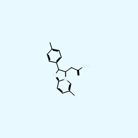 CNC(=O)CC1C(c2ccc(C)cc2)N=C2C=CC(C)=CN21